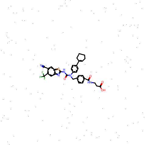 N#Cc1cc2sc(NC(=O)N(Cc3ccc(C(=O)NCCC(=O)O)cc3)c3ccc(C4=CCCCC4)cc3)nc2cc1C(F)(F)F